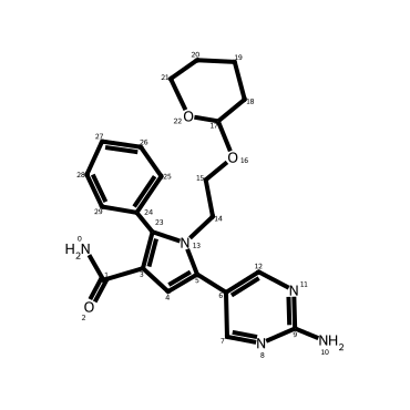 NC(=O)c1cc(-c2cnc(N)nc2)n(CCOC2CCCCO2)c1-c1ccccc1